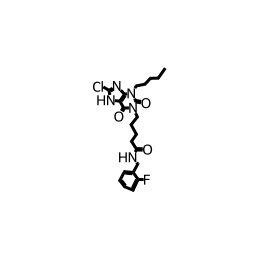 CCCCCn1c(=O)n(CCCCC(=O)NCc2ccccc2F)c(=O)c2[nH]c(Cl)nc21